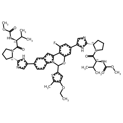 CCOc1cc(C2Oc3cc(-c4cnc([C@@H]5CCCN5C(=O)[C@@H](NC(=O)OC)C(C)C)[nH]4)cc(F)c3-c3cc4cc(-c5cnc([C@@H]6CCCN6C(=O)[C@@H](NC(=O)OC)C(C)C)[nH]5)ccc4n32)sc1C